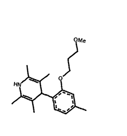 COCCCOc1cc(C)ccc1C1C(C)=C(C)NC(C)=C1C